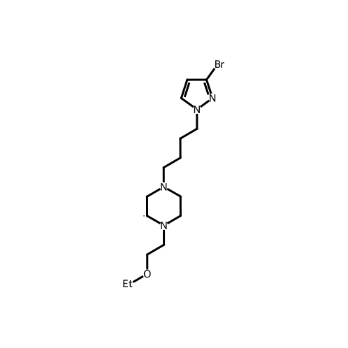 CCOCCN1[CH]CN(CCCCn2ccc(Br)n2)CC1